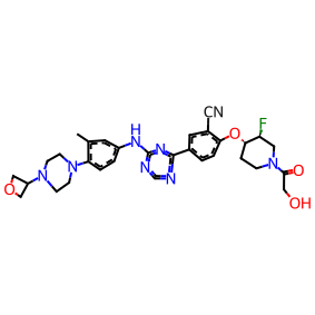 Cc1cc(Nc2ncnc(-c3ccc(O[C@H]4CCN(C(=O)CO)C[C@@H]4F)c(C#N)c3)n2)ccc1N1CCN(C2COC2)CC1